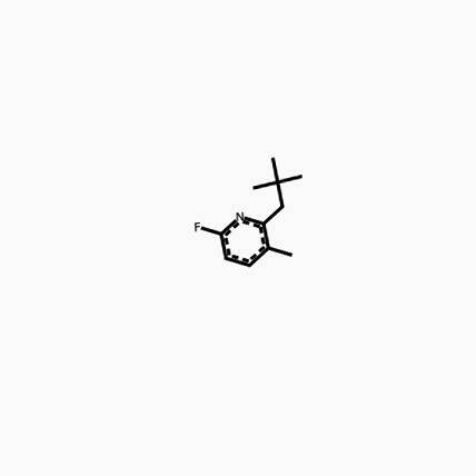 Cc1ccc(F)nc1CC(C)(C)C